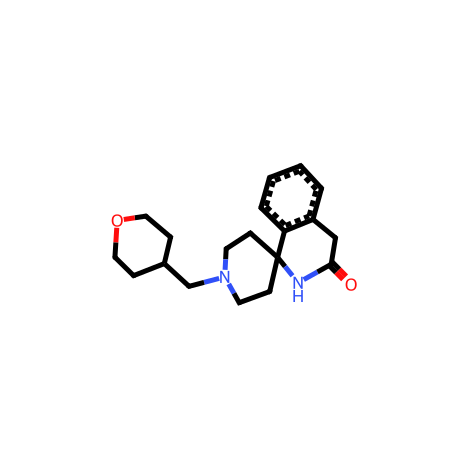 O=C1Cc2ccccc2C2(CCN(CC3CCOCC3)CC2)N1